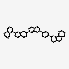 c1cc(-c2ccc3ccc(-c4ccc5ccc(-c6ccc(-c7ccc8ccc9cccnc9c8n7)cc6)nc5c4)cc3n2)c2cnccc2c1